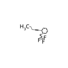 CCCC#Cc1ccccc1SC(F)(F)F